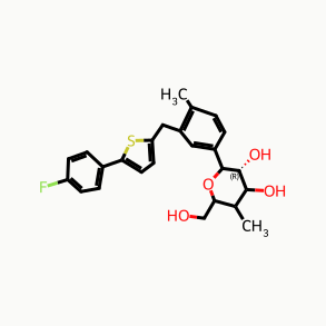 Cc1ccc(C2OC(CO)C(C)C(O)[C@H]2O)cc1Cc1ccc(-c2ccc(F)cc2)s1